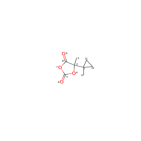 CC1(C2(C)OC(=O)OC2=O)CC1